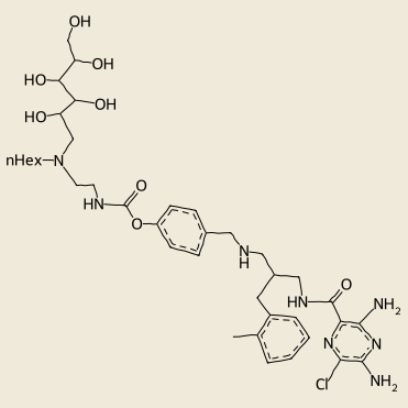 CCCCCCN(CCNC(=O)Oc1ccc(CNCC(CNC(=O)c2nc(Cl)c(N)nc2N)Cc2ccccc2C)cc1)CC(O)C(O)C(O)C(O)CO